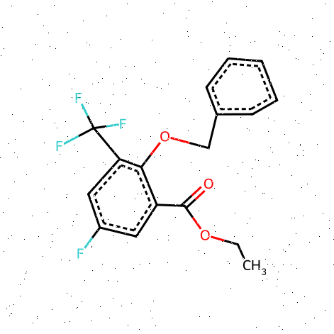 CCOC(=O)c1cc(F)cc(C(F)(F)F)c1OCc1ccccc1